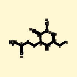 CCC(=O)N[C@@H](CCC(N)=O)C(=O)OCl